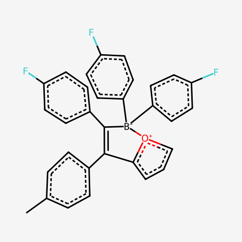 Cc1ccc(C2=C(c3ccc(F)cc3)[B-](c3ccc(F)cc3)(c3ccc(F)cc3)[o+]3cccc32)cc1